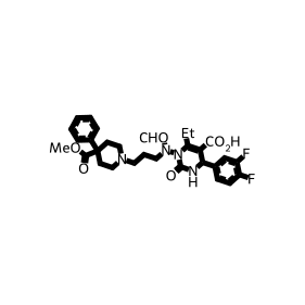 CCC1=C(C(=O)O)C(c2ccc(F)c(F)c2)NC(=O)N1N(C=O)CCCN1CCC(C(=O)OC)(c2ccccc2)CC1